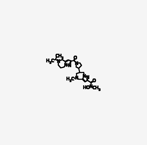 CC(C)N1CCCn2nc(C(=O)N3CCC(C4CN(C)Cc5cc(C(=O)N(C)O)nn5C4)C3)cc2C1